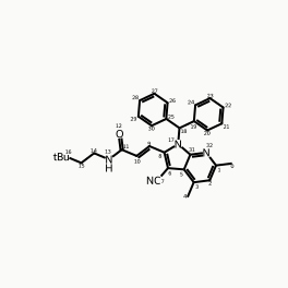 Cc1cc(C)c2c(C#N)c(/C=C/C(=O)NCCC(C)(C)C)n(C(c3ccccc3)c3ccccc3)c2n1